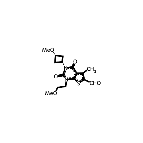 COCCn1c(=O)n([C@H]2C[C@@H](OC)C2)c(=O)c2c(C)c(C=O)sc21